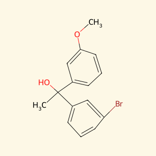 COc1cccc(C(C)(O)c2cccc(Br)c2)c1